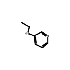 CCNc1[c]nccc1